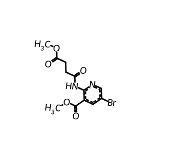 COC(=O)CCC(=O)Nc1ncc(Br)cc1C(=O)OC